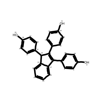 Oc1ccc(C2=C(c3ccc(O)cc3)C(c3ccc(O)cc3)c3ccccc32)cc1